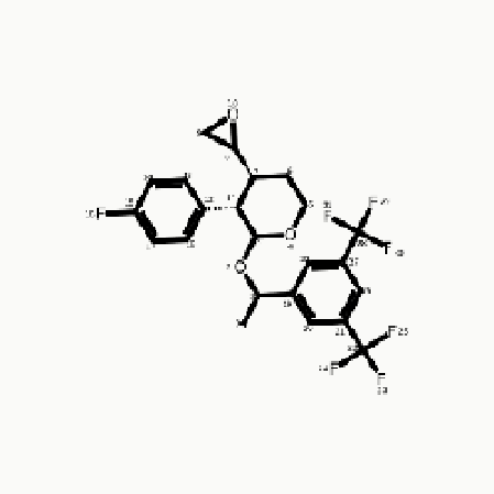 CC(OC1OCC[C@H](C2CO2)[C@H]1c1ccc(F)cc1)c1cc(C(F)(F)F)cc(C(F)(F)F)c1